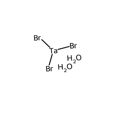 O.O.[Br][Ta]([Br])[Br]